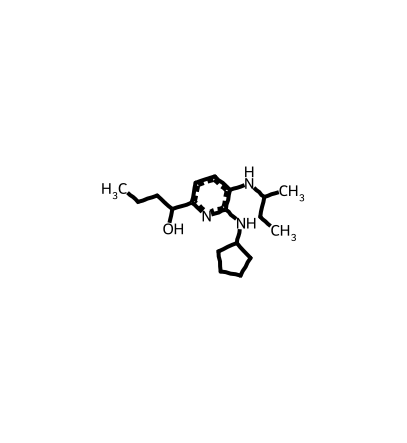 CCCC(O)c1ccc(NC(C)CC)c(NC2CCCC2)n1